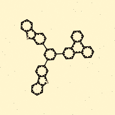 c1ccc2c(c1)sc1cc(-c3cc(-c4ccc5c(c4)sc4ccccc45)cc(-c4ccc5c6ccccc6c6ccccc6c5c4)c3)ccc12